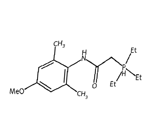 CC[PH](CC)(CC)CC(=O)Nc1c(C)cc(OC)cc1C